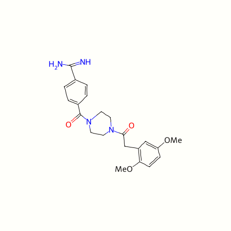 COc1ccc(OC)c(CC(=O)N2CCN(C(=O)c3ccc(C(=N)N)cc3)CC2)c1